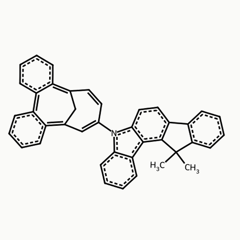 CC1(C)c2ccccc2-c2ccc3c(c21)c1ccccc1n3C1=CC2=c3ccccc3=c3ccccc3=C(C=C1)C2